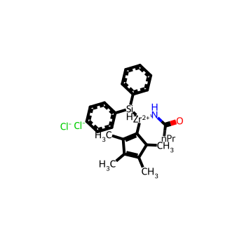 CCCC(=O)[NH][Zr+2]([C]1=C(C)C(C)=C(C)C1C)[SiH](c1ccccc1)c1ccccc1.[Cl-].[Cl-]